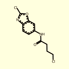 O=C(CCCCl)Nc1ccc2nc(Cl)oc2c1